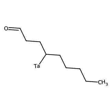 CCCCC[CH]([Ta])CCC=O